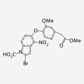 COC(=O)Cc1ccc(Oc2ccc3c(cc(Br)n3C(=O)O)c2[N+](=O)[O-])c(OC)c1